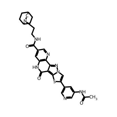 CC(=O)Nc1cncc(-c2cn3nc4c5ncc(C(=O)NCCN6CC7CCC6CC7)cc5[nH]c(=O)c4c3s2)c1